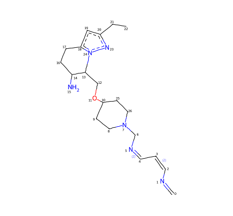 C=N/C=C\C=N/CN1CCC(OCC2C(N)CCc3cc(CC)nn32)CC1